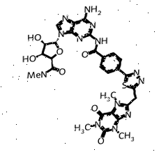 CNC(=O)[C@@H]1O[C@@H](n2cnc3c(N)nc(NC(=O)c4ccc(-c5nnc(Cc6nc7c(c(=O)n(C)c(=O)n7C)n6C)s5)cc4)nc32)[C@H](O)[C@@H]1O